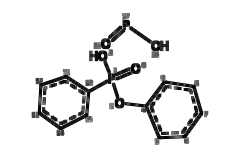 O=P(O)(Oc1ccccc1)c1ccccc1.O=PO